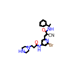 CC(NC(=O)/C(C#N)=C/c1cc(NC(=O)CCN2CCNCC2)cc(Br)n1)c1ccccc1